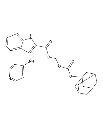 O=C(OCOC(=O)c1[nH]c2ccccc2c1Nc1ccncc1)OC12CC3CC(CC(C3)C1)C2